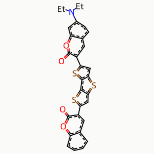 CCN(CC)c1ccc2cc(-c3cc4sc5cc(-c6cc7ccccc7oc6=O)sc5c4s3)c(=O)oc2c1